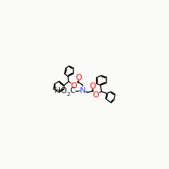 O=C(O)CN(CC(=O)OC(c1ccccc1)c1ccccc1)CC(=O)OC(c1ccccc1)c1ccccc1